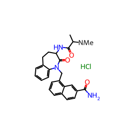 CNC(C)C(=O)NC1CCc2ccccc2N(Cc2cccc3ccc(C(N)=O)cc23)C1=O.Cl